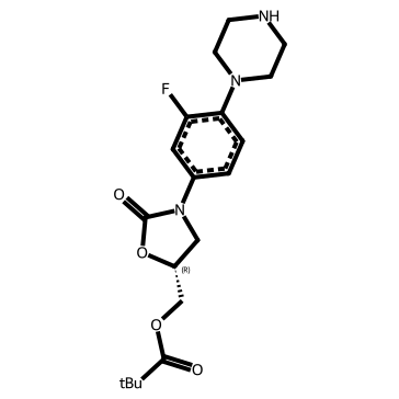 CC(C)(C)C(=O)OC[C@H]1CN(c2ccc(N3CCNCC3)c(F)c2)C(=O)O1